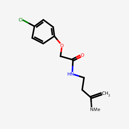 C=C(CCNC(=O)COc1ccc(Cl)cc1)NC